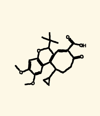 COc1cc2c(cc1OC)C1=C(/C=C(/C(=O)O)C(=O)CCC1C1CC1)C(C(C)(C)C)O2